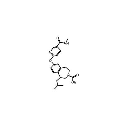 CNC(=O)c1ccc(Oc2ccc3c(c2)CCN(C(=O)O)CC3CC(C)C)nc1